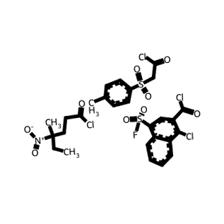 CCC(C)(CCC(=O)Cl)[N+](=O)[O-].Cc1ccc(S(=O)(=O)CC(=O)Cl)cc1.O=C(Cl)c1cc(S(=O)(=O)F)c2ccccc2c1Cl